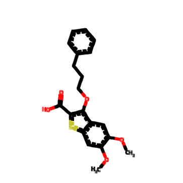 COc1cc2sc(C(=O)O)c(OCCCc3ccccc3)c2cc1OC